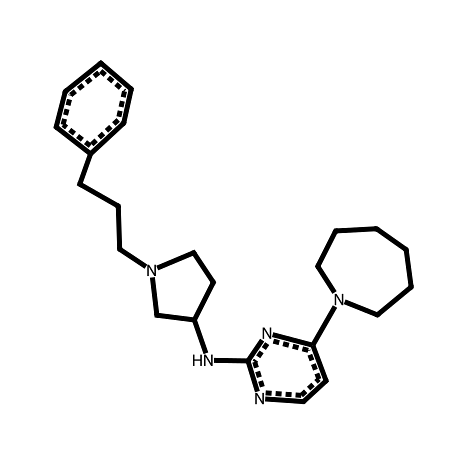 c1ccc(CCCN2CCC(Nc3nccc(N4CCCCCC4)n3)C2)cc1